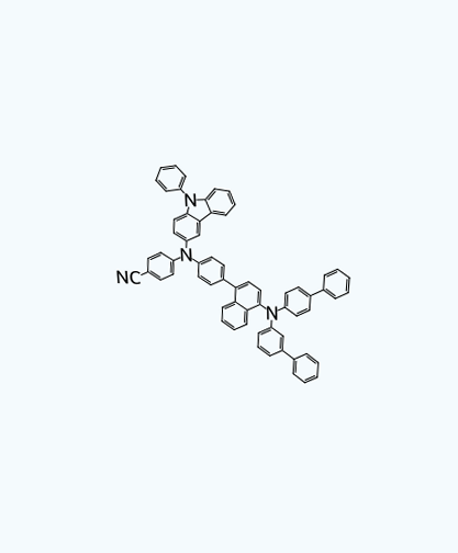 N#Cc1ccc(N(c2ccc(-c3ccc(N(c4ccc(-c5ccccc5)cc4)c4cccc(-c5ccccc5)c4)c4ccccc34)cc2)c2ccc3c(c2)c2ccccc2n3-c2ccccc2)cc1